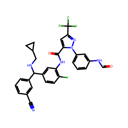 N#Cc1cccc(C(NCC2CC2)c2ccc(F)c(NC(=O)c3cc(C(F)(F)F)nn3-c3cccc(NC=O)c3)c2)c1